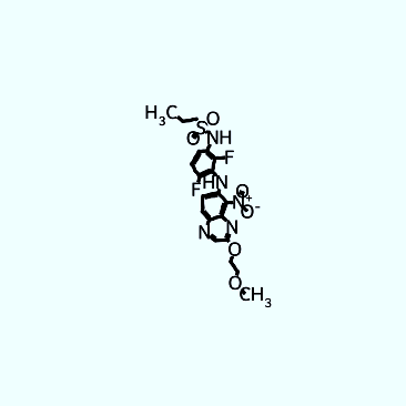 CCCS(=O)(=O)Nc1ccc(F)c(Nc2ccc3ncc(OCCOC)nc3c2[N+](=O)[O-])c1F